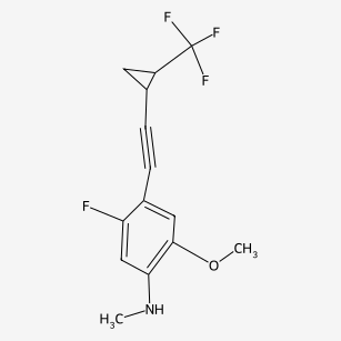 CNc1cc(F)c(C#CC2CC2C(F)(F)F)cc1OC